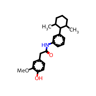 COc1cc(CC(=O)Nc2cccc(C3C(C)CCCC3C)c2)ccc1O